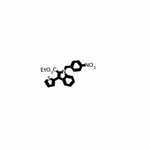 CCOC(=O)c1c(-c2cccs2)c2ccccc2n1Cc1ccc([N+](=O)[O-])cc1